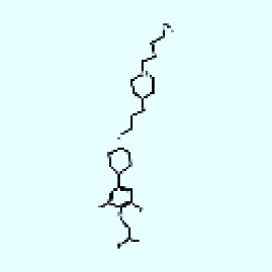 CCCCC[SiH]1CCC(CCCC[C@H]2CC[C@H](c3cc(F)c(OCC(F)F)c(F)c3)CC2)CC1